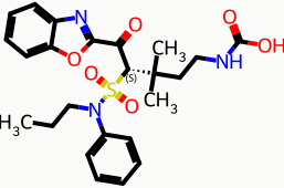 CCCN(c1ccccc1)S(=O)(=O)[C@H](C(=O)c1nc2ccccc2o1)C(C)(C)CCNC(=O)O